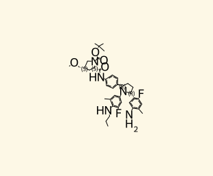 CCCNc1c(C)cc(N2[C@@H](c3ccc(NC(=O)[C@@H]4C[C@H](COC)CN4C(=O)OC(C)(C)C)cc3)CC[C@@H]2c2cc(N)c(C)cc2F)cc1F